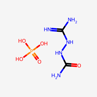 N=C(N)NNC(N)=O.O=P(O)(O)O